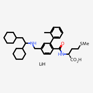 CSCC[C@H](NC(=O)c1ccc(CNC(CC2CCCCC2)C2CCCCC2)cc1-c1ccccc1C)C(=O)O.[LiH]